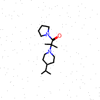 CC(C)C1CCN(C(C)(C)C(=O)N2CCCC2)CC1